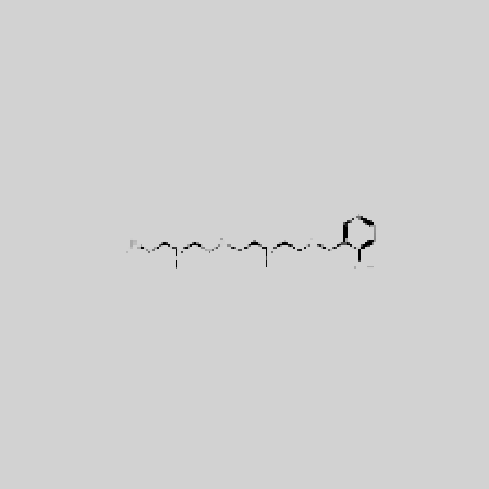 NCCNCCNCCNCCNCc1ccccc1O